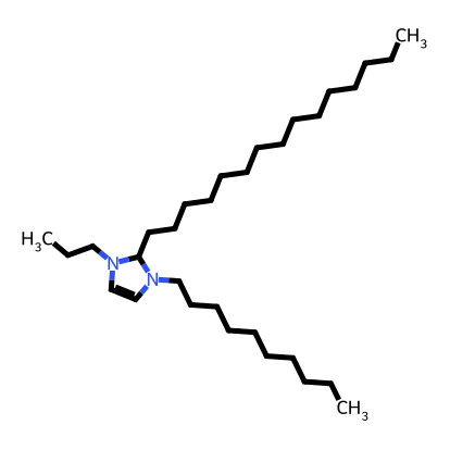 CCCCCCCCCCCCCCCC1N(CCC)C=CN1CCCCCCCCCC